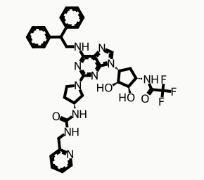 O=C(NCc1ccccn1)N[C@@H]1CCN(c2nc(NCC(c3ccccc3)c3ccccc3)c3ncn([C@@H]4C[C@H](NC(=O)C(F)(F)F)[C@@H](O)[C@H]4O)c3n2)C1